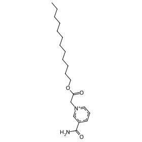 CCCCCCCCCCCCOC(=O)C[n+]1cccc(C(N)=O)c1